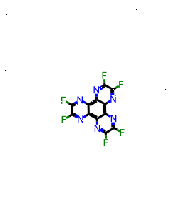 Fc1nc2c3nc(F)c(F)nc3c3nc(F)c(F)nc3c2nc1F